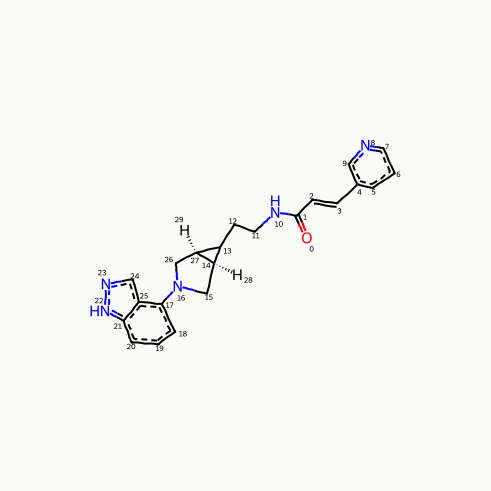 O=C(/C=C/c1cccnc1)NCCC1[C@H]2CN(c3cccc4[nH]ncc34)C[C@@H]12